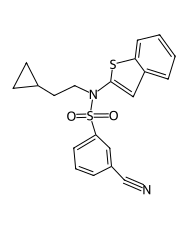 N#Cc1cccc(S(=O)(=O)N(CCC2CC2)c2cc3ccccc3s2)c1